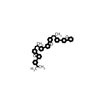 CC(C)c1cccc(-c2cccc3c2oc2ccc(CC(C)c4cccc(-c5ccc6oc7cc(CC(C)c8cccc(-c9ccc%10c(c9)oc9ccccc9%10)c8)ccc7c6c5)c4)cc23)c1